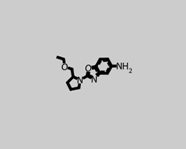 CCOCC1CCCN1c1nc2cc(N)ccc2o1